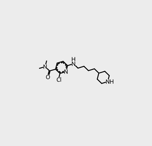 CN(C)C(=O)c1ccc(NCCCCC2CCNCC2)nc1Cl